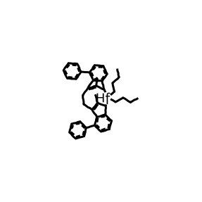 CCC[CH2][Hf]1([CH2]CCC)[CH]2C(C)=C(CCC3=C(C)[CH]1c1cccc(-c4ccccc4)c13)c1c(-c3ccccc3)cccc12